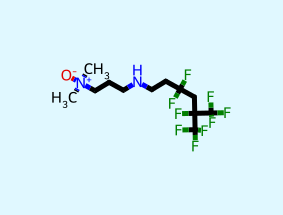 C[N+](C)([O-])CCCNCCC(F)(F)CC(F)(C(F)(F)F)C(F)(F)F